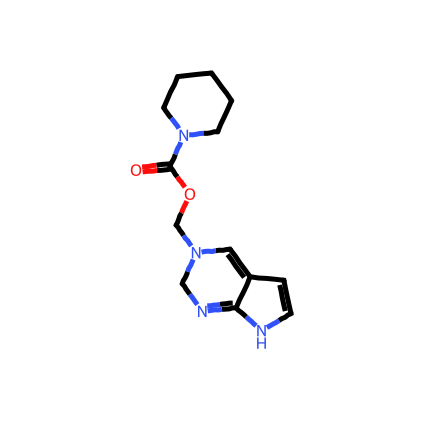 O=C(OCN1C=c2cc[nH]c2=NC1)N1CCCCC1